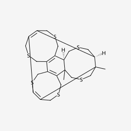 CC12CSCC3(C)C4=C5SCC(=C1CSC4)C1=C4CSCC(=C5CSC1)[C@H]3CSC[C@H]42